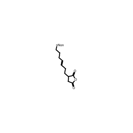 CCCCCCCCCCCCC=CCCC1CC(=O)OC1=O